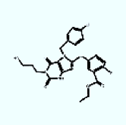 CCOC(=O)c1cc(Oc2nc3[nH]c(=O)n(CCCO)c(=O)c3n2Cc2ccc(Cl)cc2)ccc1F